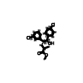 COC(=O)C(C)C[C@H](c1cccc(Cl)c1)[C@@H](O)c1ccc(Cl)cc1